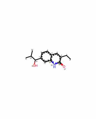 CCc1cc2ccc(C(O)C(C)C)cc2[nH]c1=O